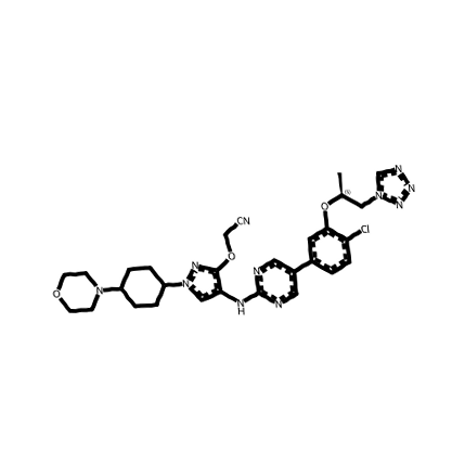 C[C@@H](Cn1cnnn1)Oc1cc(-c2cnc(Nc3cn(C4CCC(N5CCOCC5)CC4)nc3OCC#N)nc2)ccc1Cl